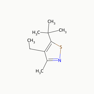 CCc1c(C)nsc1C(C)(C)C